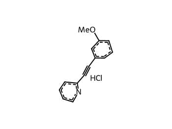 COc1cccc(C#Cc2ccccn2)c1.Cl